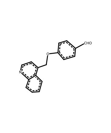 O=Cc1ccc(OCc2ccnc3ccccc23)cc1